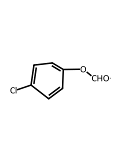 O=[C]Oc1ccc(Cl)cc1